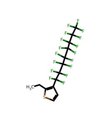 CCc1sccc1C(F)(F)C(F)(F)C(F)(F)C(F)(F)C(F)(F)C(F)(F)C(F)(F)C(F)(F)F